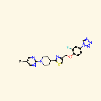 CCc1cnc(N2CCC(c3nc(COc4ccc(-n5cnnn5)cc4F)cs3)CC2)nc1